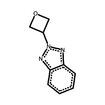 c1ccc2nn(C3COC3)nc2c1